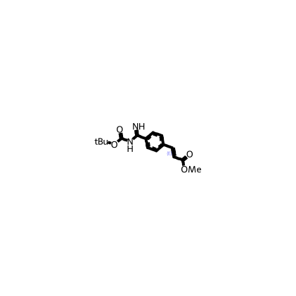 COC(=O)/C=C/c1ccc(C(=N)NC(=O)OC(C)(C)C)cc1